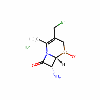 Br.N[C@@H]1C(=O)N2C(C(=O)O)=C(CBr)C[S+]([O-])[C@H]12